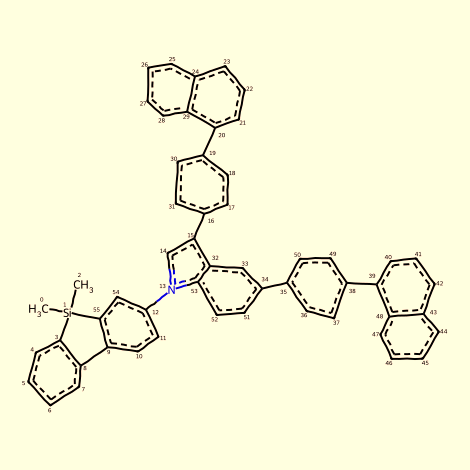 C[Si]1(C)c2ccccc2-c2ccc(-n3cc(-c4ccc(-c5cccc6ccccc56)cc4)c4cc(-c5ccc(-c6cccc7ccccc67)cc5)ccc43)cc21